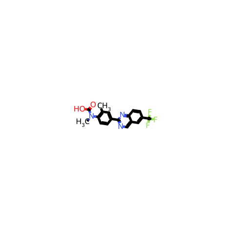 Cc1cc(-c2ncc3cc(C(F)(F)F)ccc3n2)ccc1N(C)C(=O)O